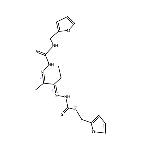 CCC(=N\NC(=S)NCc1ccco1)/C(C)=N\NC(=S)NCc1ccco1